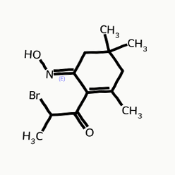 CC1=C(C(=O)C(C)Br)/C(=N/O)CC(C)(C)C1